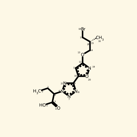 CCC(C(=O)O)n1nnc(-c2cc(OC[C@@H](C)CBr)no2)n1